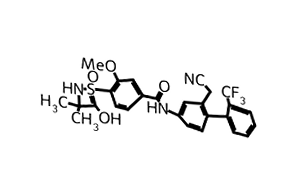 COc1cc(C(=O)Nc2ccc(-c3ccccc3C(F)(F)F)c(CC#N)c2)ccc1S1(=O)=C(O)C(C)(C)N1